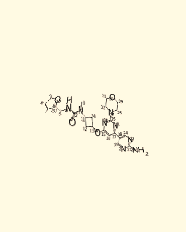 CN(C(=O)NC[C@@H]1CCCO1)[C@H]1C[C@H](Oc2cc(-c3cnc(N)nc3)nc(N3CCOCC3)n2)C1